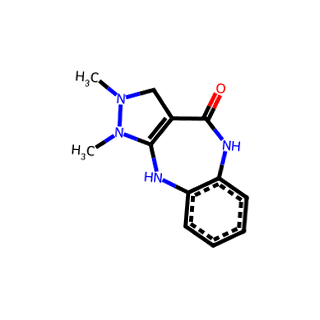 CN1CC2=C(Nc3ccccc3NC2=O)N1C